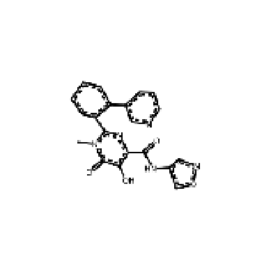 Cn1c(-c2ccccc2-c2cccnc2)nc(C(=O)Nc2cnoc2)c(O)c1=O